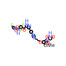 COc1cc(OCCCCN2CCN(c3ccc(-c4cnc5[nH]cc(C(=O)c6c(F)ccc(NS(=O)(=O)N7CC[C@@H](F)C7)c6F)c5c4)cc3)CC2)cc2c1C(=O)N(C1CCC(=O)NC1=O)C2